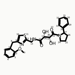 COc1ccccc1Cc1csc(CNC(=O)[C@H](O)[C@@H](O)C(=O)N2CCCC2c2ccccc2)n1